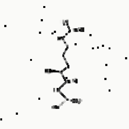 CCCC[C@H](NC(=O)[C@@H](N)CCCNC(=N)N)C(=O)O